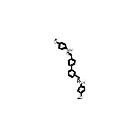 COc1ccc(N/N=C/c2ccc(-c3cccc(/C=N/Nc4ccc(OC)cc4)c3)cc2)cc1